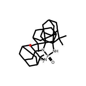 CC1(C)C2CC3CC(C2)CC1(NP(N)(=O)N(C12CC4CC(CC(C4)C1(C)C)C2)C12CC4CC(CC(C4)C1(C)C)C2)C3